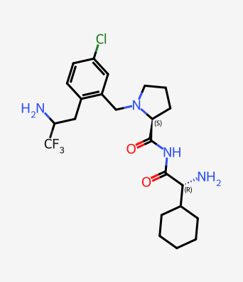 NC(Cc1ccc(Cl)cc1CN1CCC[C@H]1C(=O)NC(=O)[C@H](N)C1CCCCC1)C(F)(F)F